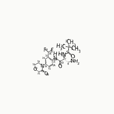 CC(C)(C)C(=O)N[C@H](CN)C(=O)Nc1ccc(N2CCOCC2=O)cc1C(F)F